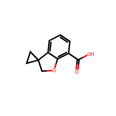 O=C(O)c1cccc2c1OCC21CC1